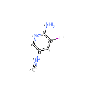 [C-]#[N+]c1cnc(N)c(I)c1